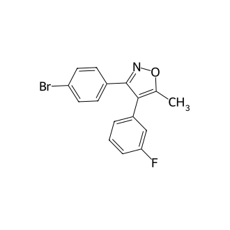 Cc1onc(-c2ccc(Br)cc2)c1-c1cccc(F)c1